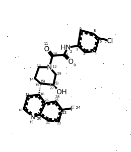 O=C(Nc1ccc(Cl)cc1)C(=O)N1CC[C@@H](c2ccnc3ccc(F)cc23)[C@H](O)C1